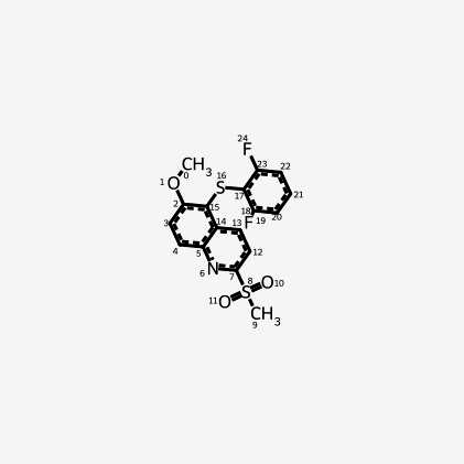 COc1ccc2nc(S(C)(=O)=O)ccc2c1Sc1c(F)cccc1F